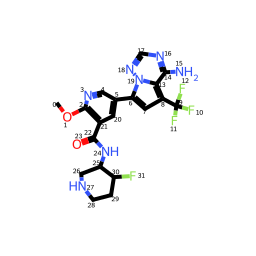 COc1ncc(-c2cc(C(F)(F)F)c3c(N)ncnn23)cc1C(=O)NC1CNCCC1F